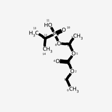 CCOC(=O)OC(C)OP(=O)(O)C(C)C